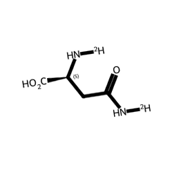 [2H]NC(=O)C[C@H](N[2H])C(=O)O